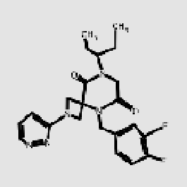 CCC(CC)N1CC(=O)N(Cc2ccc(F)c(F)c2)C2(CN(c3cccnn3)C2)C1=O